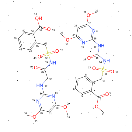 COC(=O)c1ccccc1CS(=O)(=O)NC(=O)Nc1nc(OC)cc(OC)n1.COc1cc(OC)nc(NCC(=O)NS(=O)(=O)Cc2ccccc2C(=O)O)n1